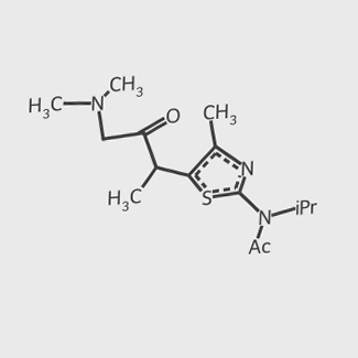 CC(=O)N(c1nc(C)c(C(C)C(=O)CN(C)C)s1)C(C)C